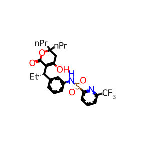 CCCC1(CCC)CC(O)=C([C@@H](CC)c2cccc(NS(=O)(=O)c3cccc(C(F)(F)F)n3)c2)C(=O)O1